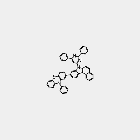 c1ccc(-c2cc(-n3c4cc(-c5ccc6c(c5)N(c5ccccc5)c5ccccc5S6)ccc4c4c5ccccc5ccc43)nc(-c3ccccc3)n2)cc1